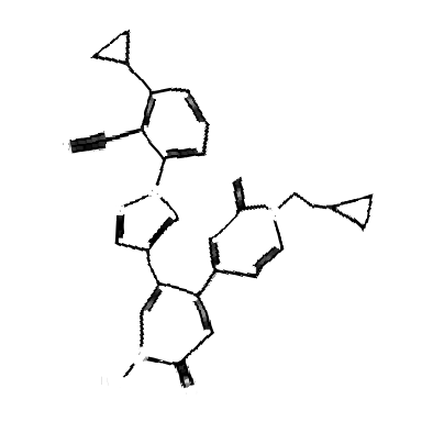 Cn1cc(-c2cnn(-c3cccc(C4CC4)c3C#N)c2)c(-c2ccn(CC3CC3)c(=O)c2)cc1=O